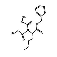 CC(C)(C)OC(=O)N(C(=O)OC(C)(C)C)[C@@H](CCCI)C(=O)OCc1ccccc1